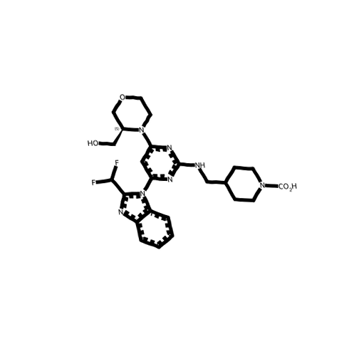 O=C(O)N1CCC(CNc2nc(N3CCOC[C@@H]3CO)cc(-n3c(C(F)F)nc4ccccc43)n2)CC1